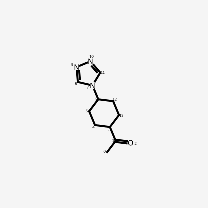 CC(=O)C1CCC(n2cnnc2)CC1